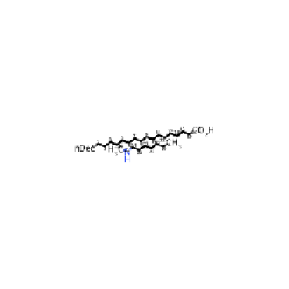 CCCCCCCCCCCCCCCCCCCCCCCCCCC(=O)O.CCCCCCCNC